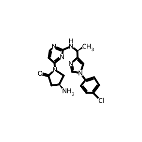 C[C@H](Nc1nccc(N2C[C@@H](N)CC2=O)n1)c1cn(-c2ccc(Cl)cc2)cn1